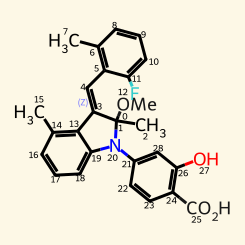 COC1(C)/C(=C\c2c(C)cccc2F)c2c(C)cccc2N1c1ccc(C(=O)O)c(O)c1